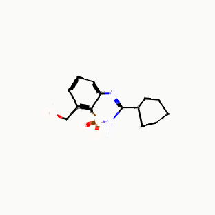 O=S1(=O)NC(C2CCCCC2)=Nc2cccc(CO)c21